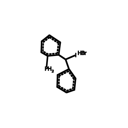 Br.Pc1ccccc1C(I)c1ccccc1